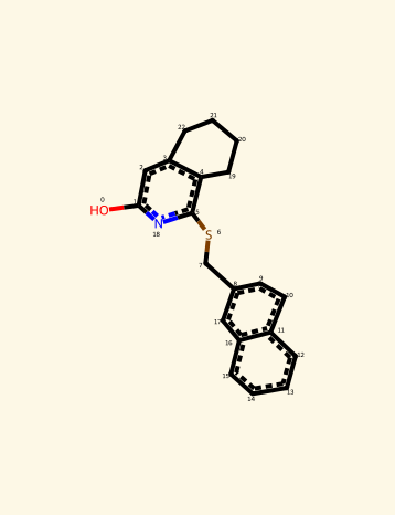 Oc1cc2c(c(SCc3ccc4ccccc4c3)n1)CCCC2